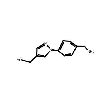 NCc1ccc(-n2cc(CO)cn2)cc1